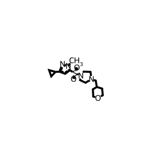 Cn1nc(C2CC2)cc1S(=O)(=O)N1CCN(CC2CCOCC2)CC1